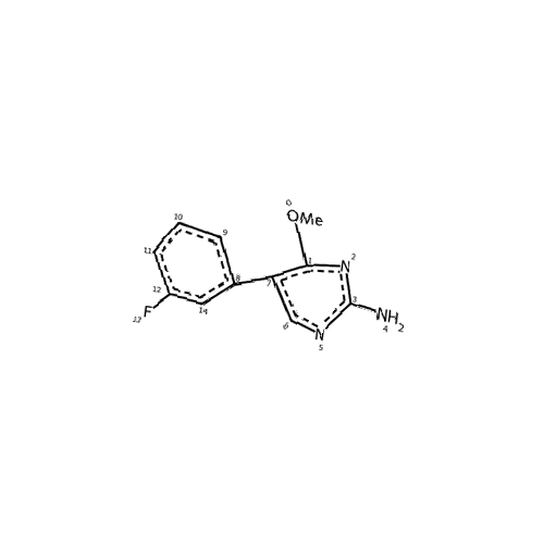 COc1nc(N)ncc1-c1cccc(F)c1